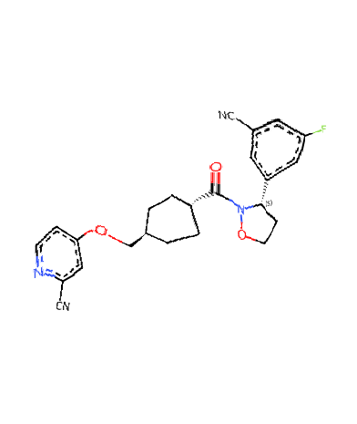 N#Cc1cc(F)cc([C@@H]2CCON2C(=O)[C@H]2CC[C@H](COc3ccnc(C#N)c3)CC2)c1